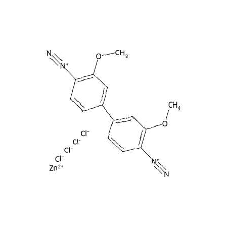 COc1cc(-c2ccc([N+]#N)c(OC)c2)ccc1[N+]#N.[Cl-].[Cl-].[Cl-].[Cl-].[Zn+2]